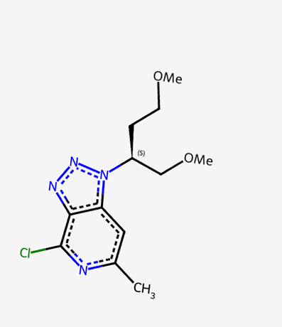 COCC[C@@H](COC)n1nnc2c(Cl)nc(C)cc21